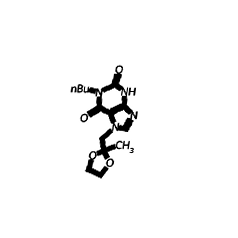 CCCCn1c(=O)[nH]c2ncn(CC3(C)OCCO3)c2c1=O